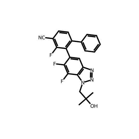 CC(C)(O)Cn1nnc2cc(-c3c(-c4ccccc4)ccc(C#N)c3F)c(F)c(F)c21